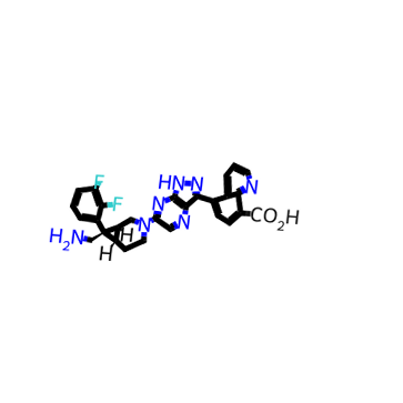 NC[C@]1(c2cccc(F)c2F)[C@@H]2CCN(c3cnc4c(-c5ccc(C(=O)O)c6ncccc56)n[nH]c4n3)C[C@@H]21